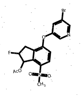 CC(=O)OC1c2c(S(C)(=O)=O)ccc(Oc3cncc(Br)c3)c2CC1F